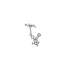 CN(C)CCCCCCOC1CCC(N(Cc2cc(F)c(F)cc2F)C(=O)OCc2ccccc2)CC1